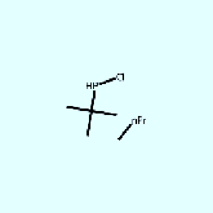 CC(C)(C)PCl.CCCC